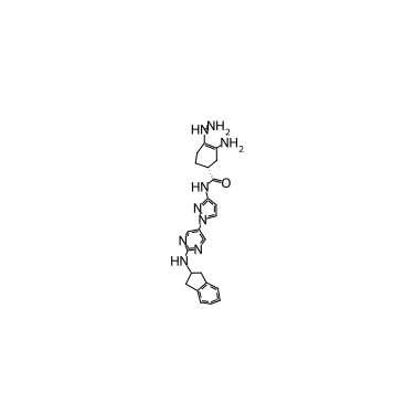 NNC1=C(N)C[C@H](C(=O)Nc2ccn(-c3cnc(NC4Cc5ccccc5C4)nc3)n2)CC1